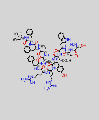 CC[C@H](C)[C@H](NC(=O)[C@H](Cc1ccccc1)NC(=O)[C@H](CCCNC(=N)N)NC(=O)[C@H](CCCNC(=N)N)NC(=O)[C@H](Cc1ccc(O)cc1)NC(=O)[C@H](CC(=O)O)NC(=O)[C@H](Cc1c[nH]c2ccccc12)NC(=O)[C@H](CO)NC(=O)[C@@H](N)CO)C(=O)N[C@@H](CC(C)C)C(=O)N[C@@H](Cc1ccccc1)C(=O)N[C@@H](Cc1ccccc1)C(=O)N[C@@H](CC(C)C)C(=O)O